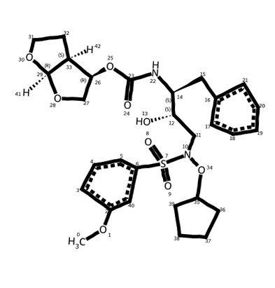 COc1cccc(S(=O)(=O)N(C[C@H](O)[C@H](Cc2ccccc2)NC(=O)O[C@H]2CO[C@H]3OCC[C@H]32)OC2CCCC2)c1